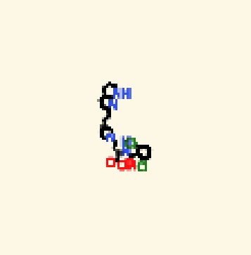 O=C(N[C@@H](CCN1CC[C@@H](CCc2ccc3c(n2)NCCC3)C1)C(=O)O)c1c(Cl)cccc1Cl